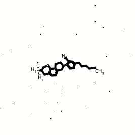 CCCCCCc1ccc(C2CCc3c(ccc4c3CCC(C)(C)C4)C2)c(C#N)c1